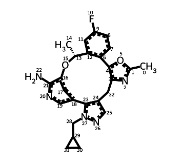 Cc1nc2c(o1)-c1ccc(F)cc1[C@@H](C)Oc1cc(cnc1N)-c1c(cnn1CC1CC1)C2